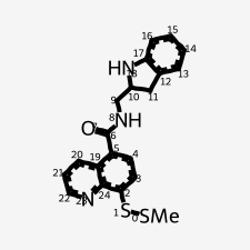 CSSc1ccc(C(=O)NCC2Cc3ccccc3N2)c2cccnc12